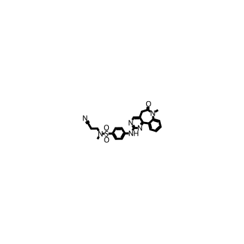 CN1C(=O)Cc2cnc(Nc3ccc(S(=O)(=O)N(C)CCC#N)cc3)nc2-c2ccccc21